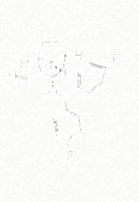 CN1[C@H]2CC[C@@H]1[C@@H](C=O)[C@H](OC(c1ccc(F)cc1)c1ccc(F)cc1)C2